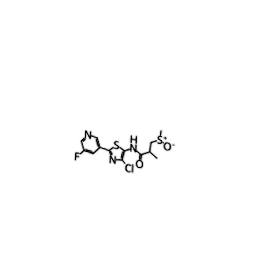 CC(C[S+](C)[O-])C(=O)Nc1sc(-c2cncc(F)c2)nc1Cl